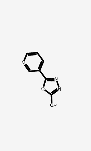 Oc1nnc(-c2cccnc2)o1